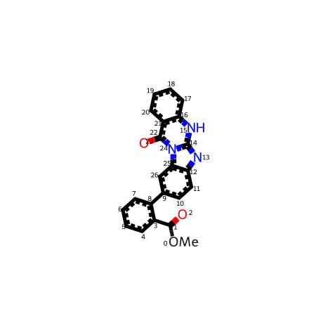 COC(=O)c1ccccc1-c1ccc2nc3[nH]c4ccccc4c(=O)n3c2c1